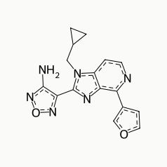 Nc1nonc1-c1nc2c(-c3ccoc3)nccc2n1CC1CC1